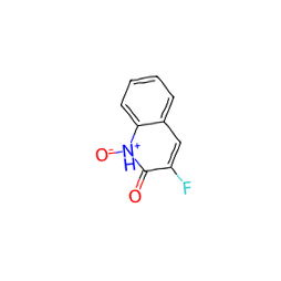 O=C1C(F)=Cc2ccccc2[NH+]1[O-]